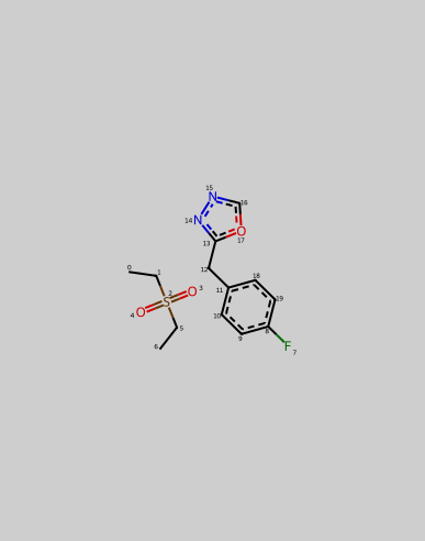 CCS(=O)(=O)CC.Fc1ccc(Cc2nnco2)cc1